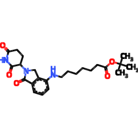 CC(C)(C)OC(=O)CCCCCCNc1cccc2c1CN(C1CCC(=O)NC1=O)C2=O